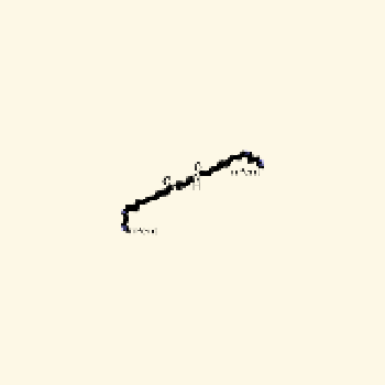 CCCCC/C=C\C/C=C\CCCCCCCC(=O)NCCCNC(=O)CCCCCCC/C=C\C/C=C\CCCCC